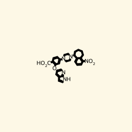 O=C(O)c1ccc(N2CCN([C@@H]3CCCCc4c3cccc4[N+](=O)[O-])CC2)cc1Oc1cnc2[nH]ccc2c1